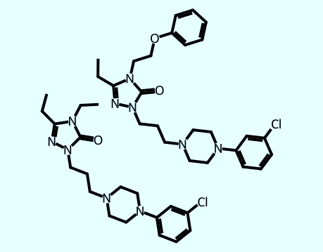 CCc1nn(CCCN2CCN(c3cccc(Cl)c3)CC2)c(=O)n1CC.CCc1nn(CCCN2CCN(c3cccc(Cl)c3)CC2)c(=O)n1CCOc1ccccc1